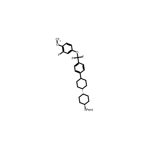 CCCCC[C@H]1CC[C@H](C2CCC(c3ccc(C(F)(F)Oc4ccc(OC(F)(F)F)c(F)c4)cc3)CC2)CC1